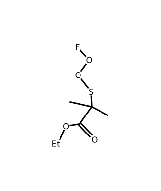 CCOC(=O)C(C)(C)SOOF